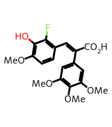 COc1ccc(/C=C(/C(=O)O)c2cc(OC)c(OC)c(OC)c2)c(F)c1O